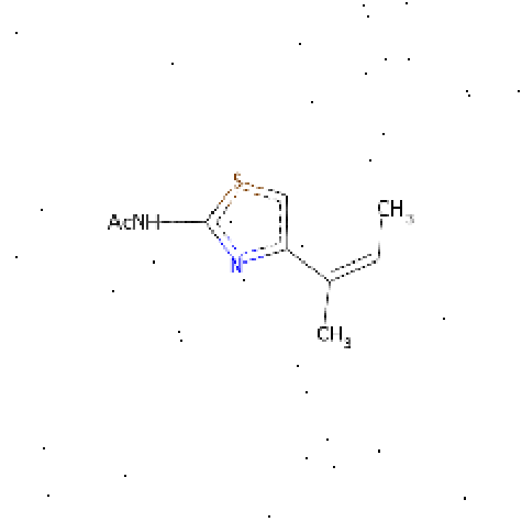 C/C=C(/C)c1csc(NC(C)=O)n1